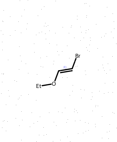 CCO/C=C/Br